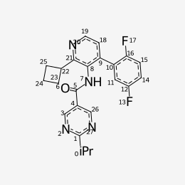 CC(C)c1ncc(C(=O)Nc2c(-c3cc(F)ccc3F)ccnc2C2CCC2)cn1